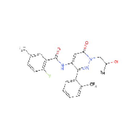 [2H]C(O)Cn1nc(-c2ccccc2C(F)(F)F)c(NC(=O)c2cc(C(F)(F)F)ccc2F)cc1=O